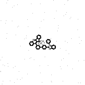 CC1(C)c2ccccc2-c2nc3ccccc3c(-c3cccc(-c4ccc(-c5nc6ccccc6n5-c5ccccc5)cc4)c3)c21